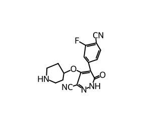 N#Cc1ccc(-c2c(OC3CCNCC3)c(C#N)n[nH]c2=O)cc1F